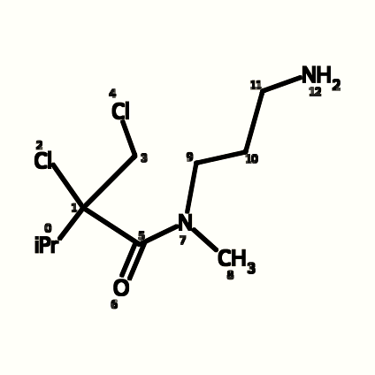 CC(C)C(Cl)(CCl)C(=O)N(C)CCCN